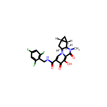 CN1C(=O)c2c(O)c(=O)c(C(=O)NCc3c(F)cc(F)cc3F)cn2[C@H]2C[C@@H]3C[C@@H]3[C@H]21